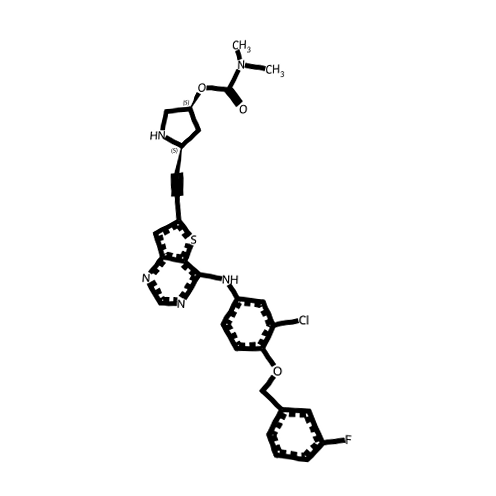 CN(C)C(=O)O[C@@H]1CN[C@H](C#Cc2cc3ncnc(Nc4ccc(OCc5cccc(F)c5)c(Cl)c4)c3s2)C1